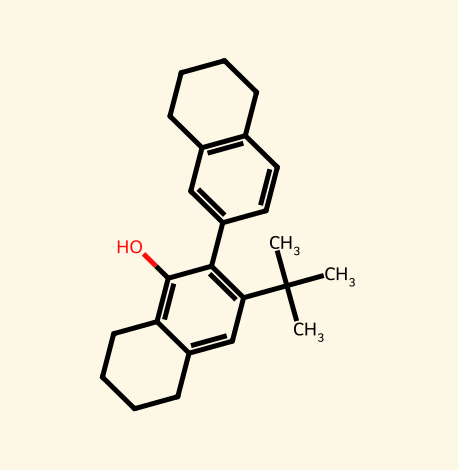 CC(C)(C)c1cc2c(c(O)c1-c1ccc3c(c1)CCCC3)CCCC2